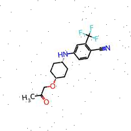 CC(=O)CO[C@H]1CC[C@H](Nc2ccc(C#N)c(C(F)(F)F)c2)CC1